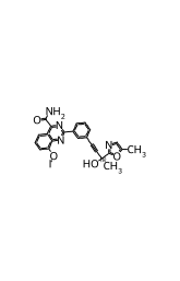 Cc1cnc([C@@](C)(O)C#Cc2cccc(-c3nc(C(N)=O)c4cccc(OI)c4n3)c2)o1